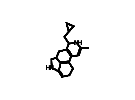 CC1=CC2=C(CC3CNC4=CCCC2=C43)C(CC2CC2)N1